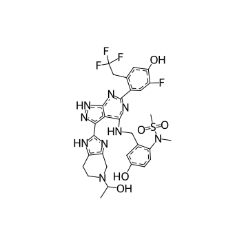 CC(O)N1CCc2[nH]c(-c3n[nH]c4nc(-c5cc(F)c(O)cc5CC(F)(F)F)nc(NCc5cc(O)ccc5N(C)S(C)(=O)=O)c34)nc2C1